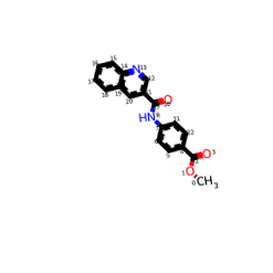 COC(=O)c1ccc(NC(=O)c2cnc3ccccc3c2)cc1